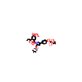 CCC(O)c1cc(O)c(OC)cc1C(=O)N1C=C(c2ccc(OC(=O)OC(C)(C)C)cc2)CC1CO[Si](C)(C)C(C)(C)C